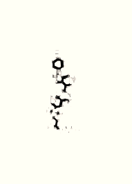 COC(=O)CCS(=O)(=O)c1cncc([C@H](C)NC(=O)c2cncc3c2cnn3-c2ccc(F)cc2)c1